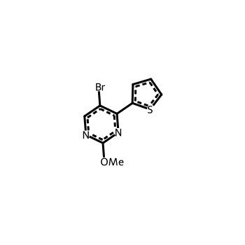 COc1ncc(Br)c(-c2cccs2)n1